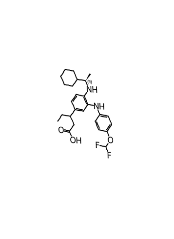 CCC(CC(=O)O)c1ccc(N[C@H](C)C2CCCCC2)c(Nc2ccc(OC(F)F)cc2)c1